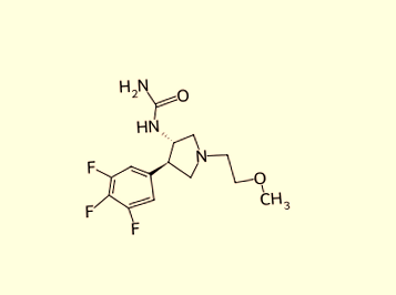 COCCN1C[C@@H](NC(N)=O)[C@H](c2cc(F)c(F)c(F)c2)C1